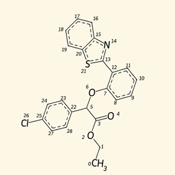 CCOC(=O)C(Oc1ccccc1-c1nc2ccccc2s1)c1ccc(Cl)cc1